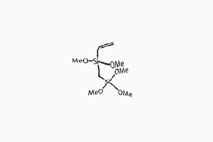 C=C[Si](C[Si](OC)(OC)OC)(OC)OC